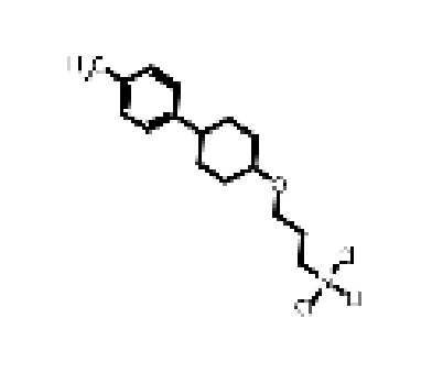 Cc1ccc(C2CCC(OCCC[Si](Cl)(Cl)Cl)CC2)cc1